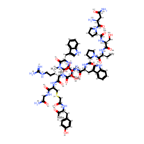 CCCC[C@@H](C(=O)N(C)[C@@H](C)C(=O)N[C@@H](CCCNC(=N)N)C(=O)NC(CSCC(=O)N[C@@H](Cc1ccc(O)cc1)C(=O)NC)C(=O)NCC(N)=O)N(C)C(=O)[C@H](Cc1c[nH]c2ccccc12)NC(=O)[C@H](CO)NC(=O)[C@H](Cc1c[nH]c2ccccc12)NC(=O)[C@@H]1CCCN1C(=O)[C@H](CC(C)C)NC(=O)[C@H](CO)NC(=O)[C@@H]1CCCN1C(=O)[C@@H](N)CC(N)=O